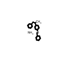 CC(Cc1ccccc1)c1ccc(OCc2ccccc2)cc1.N